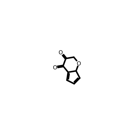 O=C1COC2C=CC=C2C1=O